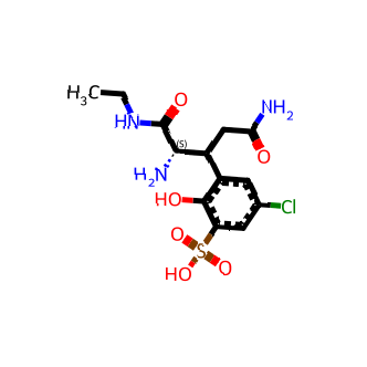 CCNC(=O)[C@@H](N)C(CC(N)=O)c1cc(Cl)cc(S(=O)(=O)O)c1O